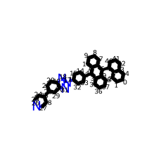 c1ccc2c(-c3c4ccccc4c(-c4ccc(-n5nc6ccc(-c7ccncc7)cc6n5)cc4)c4ccccc34)cccc2c1